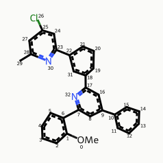 COc1ccccc1-c1cc(-c2ccccc2)cc(-c2cccc(-c3cc(Cl)cc(C)n3)c2)n1